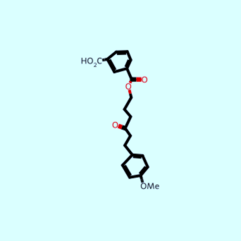 COc1ccc(CCC(=O)CCCOC(=O)c2cccc(C(=O)O)c2)cc1